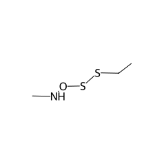 CCSSONC